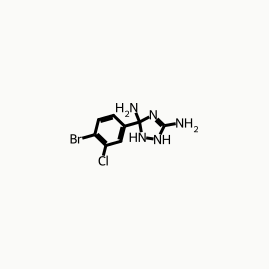 NC1=NC(N)(c2ccc(Br)c(Cl)c2)NN1